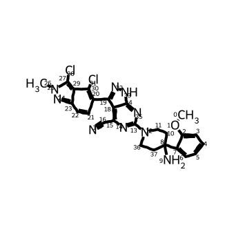 COc1ccccc1C1(N)CCN(c2nc(C#N)c3c(-c4ccc5nn(C)c(Cl)c5c4Cl)n[nH]c3n2)CC1